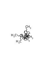 CCCc1cccc([O][Sn]([CH3])([CH3])[O][Sn]([CH3])([CH3])[O]c2cccc(CCC)c2CCC)c1CCC